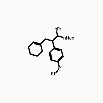 CCCCCCC(CCC)C(CC1=CCCCC1)c1ccc(OCC)cc1